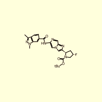 Cc1nn(C)c2cc(C(=O)Nc3cn4cc([C@H]5C[C@H](F)CN5C(=O)OC(C)(C)C)nc4cn3)ccc12